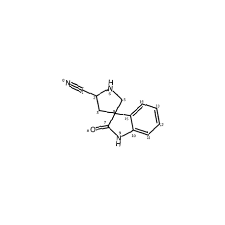 N#CC1CC2(CN1)C(=O)Nc1ccccc12